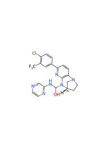 OC(Nc1cnccn1)N1c2nc(-c3ccc(Cl)c(C(F)(F)F)c3)ccc2N2CC[C@H]1C2